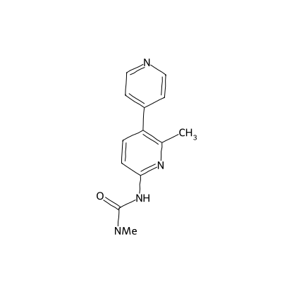 CNC(=O)Nc1ccc(-c2ccncc2)c(C)n1